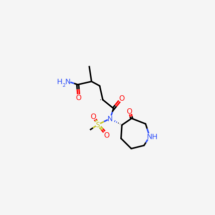 CC(C[CH]C(=O)N([C@H]1CCCNCC1=O)S(C)(=O)=O)C(N)=O